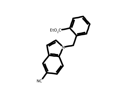 CCOC(=O)c1ccccc1Cn1ccc2cc(C#N)ccc21